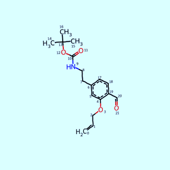 C=CCOc1cc(CCNC(=O)OC(C)(C)C)ccc1C=O